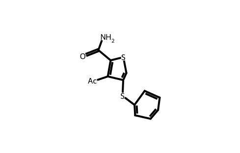 CC(=O)c1c(Sc2ccccc2)csc1C(N)=O